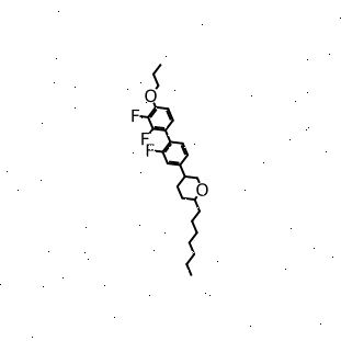 CCCCCCCC1CCC(c2ccc(-c3ccc(OCCC)c(F)c3F)c(F)c2)CO1